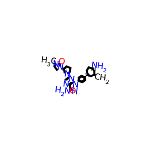 C=C1C[C@H](N)CC[C@H](c2ccc(Nc3nc(N4CCC[C@@H](N5CCN(C)C5=O)C4)cnc3C(N)=O)cc2)C1